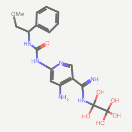 COCC(NC(=O)Nc1cc(N)c(C(=N)NC(O)(O)C(O)(O)O)cn1)c1ccccc1